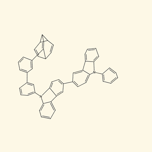 C1=CC2C3C=CC1C(c1cccc(-c4cccc(-n5c6ccccc6c6cc(-c7ccc8c(c7)c7ccccc7n8-c7ccccc7)ccc65)c4)c1)=CC23